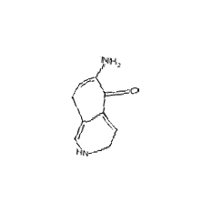 NC1=CCC2=CNCC=C2C1=O